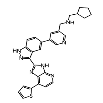 c1csc(-c2ccnc3[nH]c(-c4n[nH]c5ccc(-c6cncc(CNCC7CCCC7)c6)cc45)nc23)c1